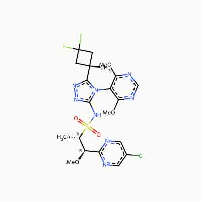 COc1ncnc(OC)c1-n1c(NS(=O)(=O)[C@@H](C)[C@H](OC)c2ncc(Cl)cn2)nnc1C1(C)CC(F)(F)C1